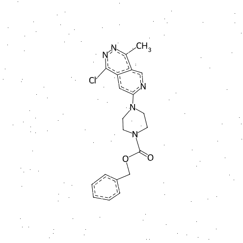 Cc1nnc(Cl)c2cc(N3CCN(C(=O)OCc4ccccc4)CC3)ncc12